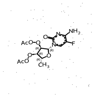 CC(=O)OO[C@@H]1[C@H](OOC(C)=O)[C@@H](C)O[C@H]1n1cc(F)c(N)nc1=O